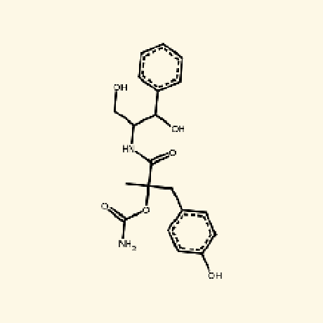 CC(Cc1ccc(O)cc1)(OC(N)=O)C(=O)NC(CO)C(O)c1ccccc1